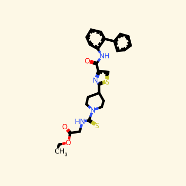 CCOC(=O)CNC(=S)N1CCC(c2nc(C(=O)Nc3ccccc3-c3ccccc3)cs2)CC1